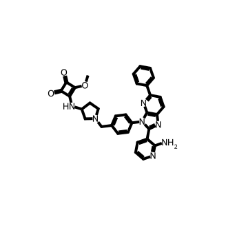 COc1c(NC2CCN(Cc3ccc(-n4c(-c5cccnc5N)nc5ccc(-c6ccccc6)nc54)cc3)C2)c(=O)c1=O